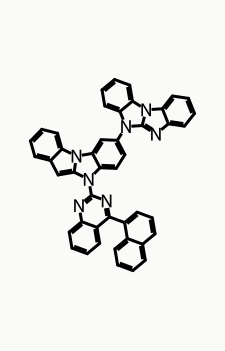 c1ccc2c(-c3nc(-n4c5ccc(-n6c7ccccc7n7c8ccccc8nc67)cc5n5c6ccccc6cc45)nc4ccccc34)cccc2c1